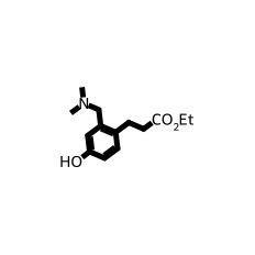 CCOC(=O)CCc1ccc(O)cc1CN(C)C